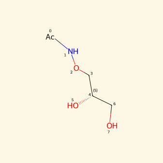 CC(=O)NOC[C@@H](O)CO